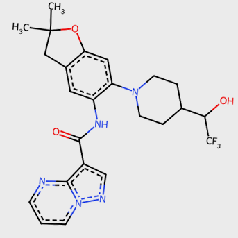 CC1(C)Cc2cc(NC(=O)c3cnn4cccnc34)c(N3CCC(C(O)C(F)(F)F)CC3)cc2O1